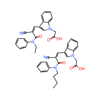 CCCCN(C(=O)C(C#N)=Cc1cn(CC(=O)O)c2ccccc12)c1ccccc1.CCN(C(=O)C(C#N)=Cc1cn(CC(=O)O)c2ccccc12)c1ccccc1